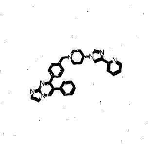 c1ccc(-c2cn3ccnc3nc2-c2ccc(CN3CCC(n4cnc(-c5ccccn5)c4)CC3)cc2)cc1